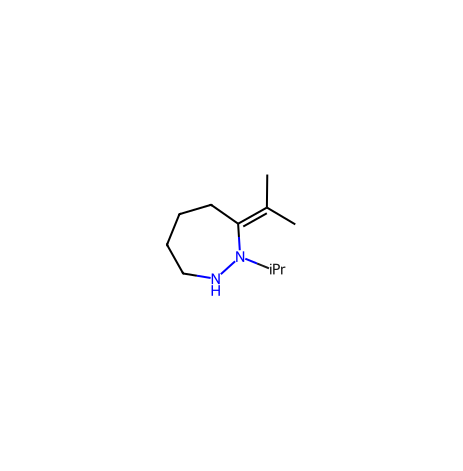 CC(C)=C1CCCCNN1C(C)C